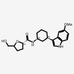 COc1ccc2[nH]cc([C@@H]3CCC[C@H](NC(=O)[C@@H]4CCC(CO)O4)C3)c2c1